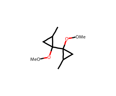 COOC1(C2(OOC)CC2C)CC1C